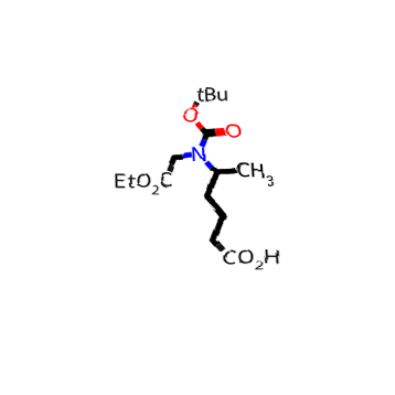 CCOC(=O)CN(C(=O)OC(C)(C)C)C(C)CCCC(=O)O